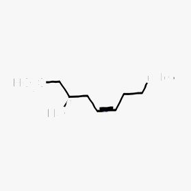 CCCCCCCC/C=C\C[C@@H](O)CC(=O)O